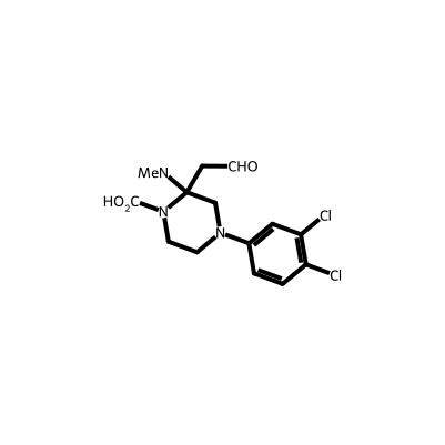 CNC1(CC=O)CN(c2ccc(Cl)c(Cl)c2)CCN1C(=O)O